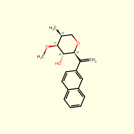 C=C(c1ccc2ccccc2c1)[C@@H]1OC[C@H](C)[C@H](OC)[C@H]1O